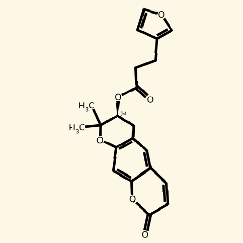 CC1(C)Oc2cc3oc(=O)ccc3cc2C[C@@H]1OC(=O)CCc1ccoc1